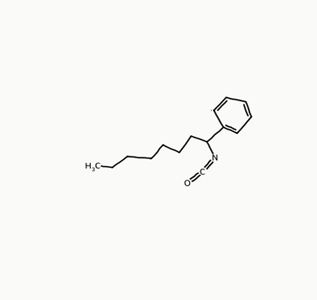 CCCCCCCC(N=C=O)c1[c]cccc1